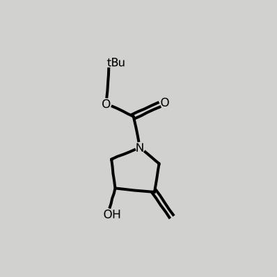 C=C1CN(C(=O)OC(C)(C)C)CC1O